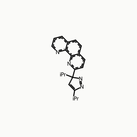 CC(C)C1=CC(c2ccc3ccc4cccnc4c3n2)(C(C)C)N=N1